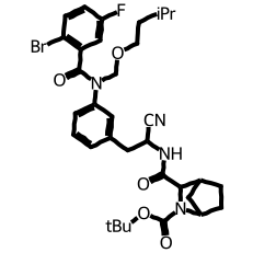 CC(C)CCOCN(C(=O)c1cc(F)ccc1Br)c1cccc(CC(C#N)NC(=O)C2C3CCC(C3)N2C(=O)OC(C)(C)C)c1